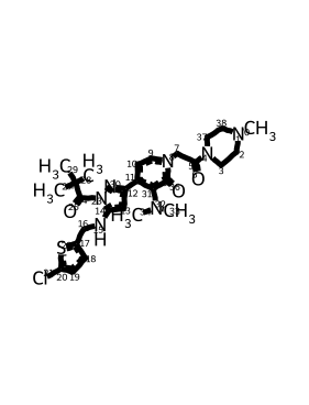 CN1CCN(C(=O)Cn2ccc(-c3cc(NCc4ccc(Cl)s4)n(C(=O)C(C)(C)C)n3)c(N(C)C)c2=O)CC1